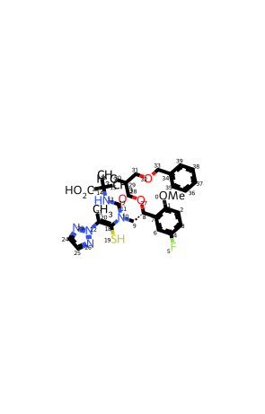 COc1ccc(F)cc1[C@H](CN(C(=O)NC(C)(C)C(=O)O)/C(S)=C(\C)n1nccn1)OCC(C)COCc1ccccc1